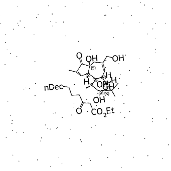 CC1=C[C@H]2[C@]3(O)[C@H](C)[C@@H](O)[C@@]4(O)[C@H]([C@@H]3C=C(CO)C[C@@]2(O)C1=O)C4(C)C.CCCCCCCCCCCCCC(=O)CC(=O)OCC